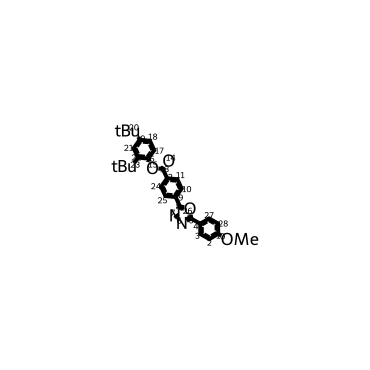 COc1ccc(-c2nnc(-c3ccc(C(=O)Oc4ccc(C(C)(C)C)cc4C(C)(C)C)cc3)o2)cc1